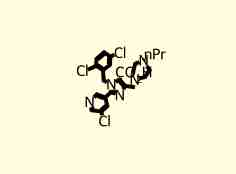 CCCN1CCN(Cc2nc(-c3cncc(Cl)c3)n(Cc3cc(Cl)ccc3Cl)c2C(=O)O)CC1